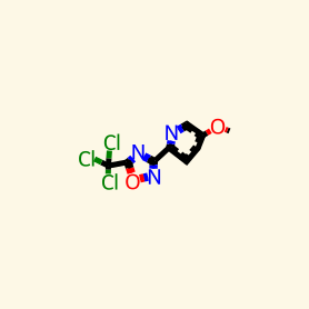 COc1ccc(-c2noc(C(Cl)(Cl)Cl)n2)nc1